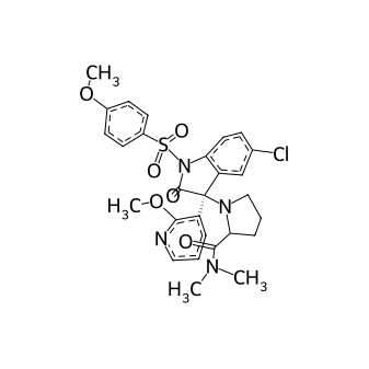 COc1ccc(S(=O)(=O)N2C(=O)[C@](c3cccnc3OC)(N3CCCC3C(=O)N(C)C)c3cc(Cl)ccc32)cc1